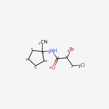 N#CC1(NC(=O)C(Br)CCl)CCCC1